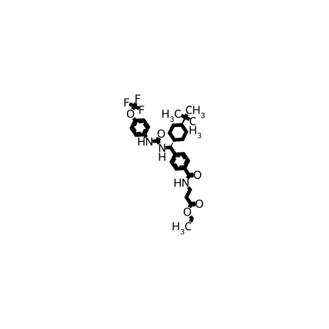 CCOC(=O)CCNC(=O)c1ccc(C(NC(=O)Nc2ccc(OC(F)(F)F)cc2)[C@H]2CC[C@H](C(C)(C)C)CC2)cc1